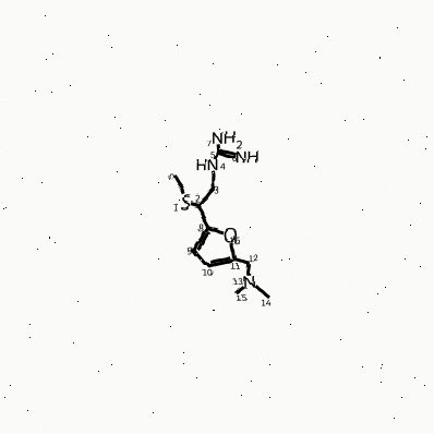 CSC(CNC(=N)N)c1ccc(CN(C)C)o1